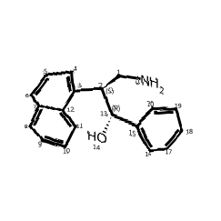 NC[C@H](c1cccc2ccccc12)[C@@H](O)c1ccccc1